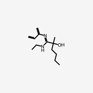 C=CC(=C)/N=C(\NCC)C(C)(O)CCCC